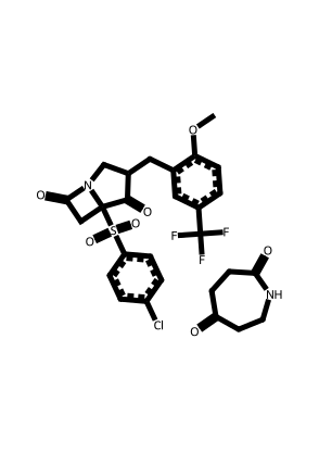 COc1ccc(C(F)(F)F)cc1CC1CN2C(=O)CC2(S(=O)(=O)c2ccc(Cl)cc2)C1=O.O=C1CCNC(=O)CC1